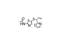 C=CC(Sc1cnc(NC(C)=O)s1)c1ncco1